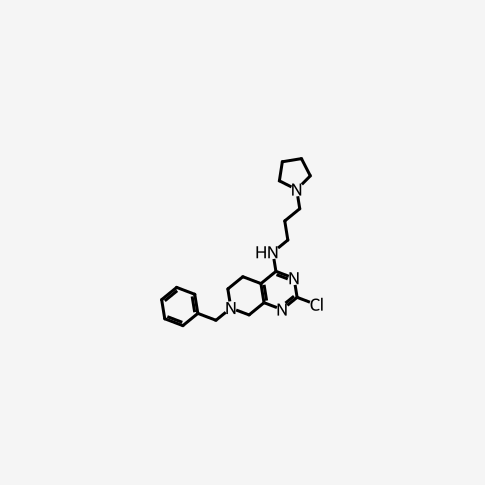 Clc1nc2c(c(NCCCN3CCCC3)n1)CCN(Cc1ccccc1)C2